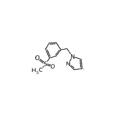 CS(=O)(=O)c1cccc(Cn2c[c]cn2)c1